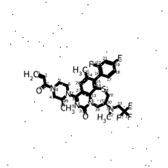 C=CC(=O)N1CCN(c2nc(=O)n3c4c(c(-c5ccc(F)cc5F)c(C)cc24)SC[C@@H](N(C)CC(F)(F)F)C3)[C@@H](C)C1